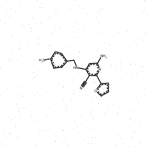 N#Cc1c(NCc2ccc(N)cc2)cc(N)nc1-c1ccco1